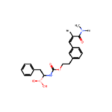 CCN(C)C(=O)C(C#N)=Cc1cccc(CCOC(=O)NC(Cc2ccccc2)B(O)O)c1